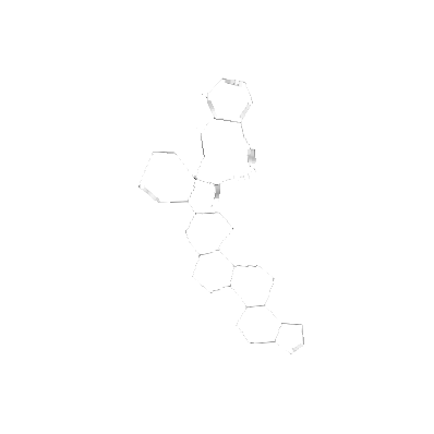 N#Cc1cccnc1OCC1(C(=O)O)CCC=CC1C1CCC2C(CCC3C2CCC2C4CC=CC4CCC23)C1